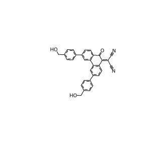 N#CC(C#N)=C1C(=O)c2ccc(-c3ccc(CO)cc3)cc2-c2cc(-c3ccc(CO)cc3)ccc21